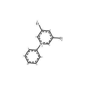 CCc1cc(CC)c[n+](-c2ccccc2)c1